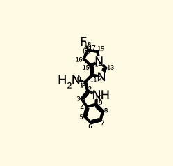 N[C@H](c1cc2ccccc2[nH]1)c1ncn2c1C[C@@H](F)C2